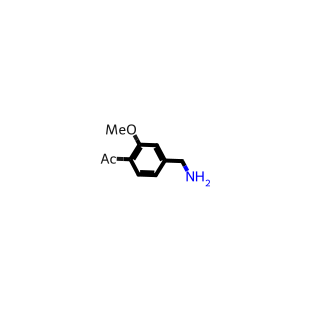 COc1cc(CN)ccc1C(C)=O